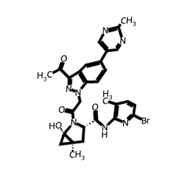 CC(=O)c1nn(CC(=O)N2[C@H](C(=O)Nc3nc(Br)ccc3C)C[C@@]3(C)C[C@@]23O)c2ccc(-c3cnc(C)nc3)cc12